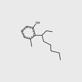 CCCCCC(CC)c1c(C)cccc1O